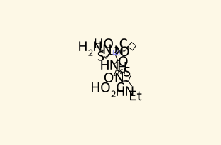 CCNCC1=C(C(=O)O)N2C(=O)C(NC(=O)/C(=N\OC3(C(=O)O)CCC3)c3csc(N)n3)[C@@H]2SC1